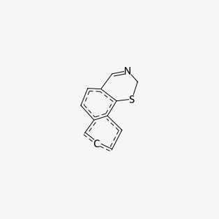 C1=NCSc2c1ccc1ccccc21